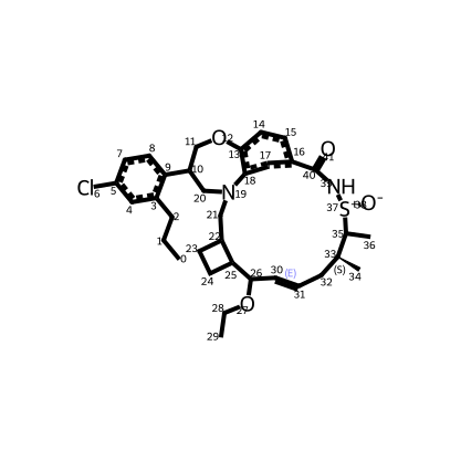 CCCc1cc(Cl)ccc1C1COc2ccc3cc2N(C1)CC1CCC1C(OCC)/C=C/C[C@H](C)C(C)[S+]([O-])NC3=O